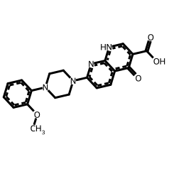 COc1ccccc1N1CCN(c2ccc3c(=O)c(C(=O)O)c[nH]c3n2)CC1